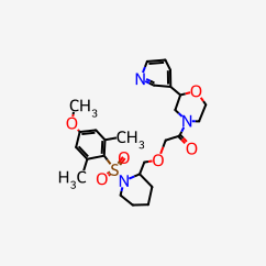 COc1cc(C)c(S(=O)(=O)N2CCCCC2COCC(=O)N2CCOC(c3cccnc3)C2)c(C)c1